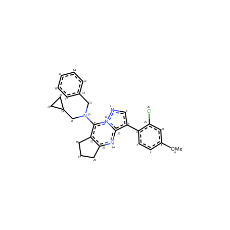 COc1ccc(-c2cnn3c(N(Cc4ccccc4)CC4CC4)c4c(nc23)CCC4)c(Cl)c1